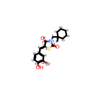 CC1(CN2C(=O)SC(=Cc3ccc(O)c(Br)c3)C2=O)CCCCC1